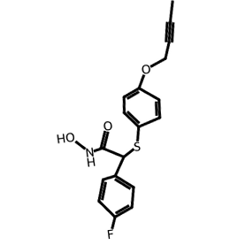 CC#CCOc1ccc(SC(C(=O)NO)c2ccc(F)cc2)cc1